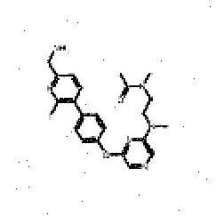 CC(=O)N(C)CCN(C)c1cncc(Oc2ccc(-c3ccc(CN)nc3I)cc2)n1